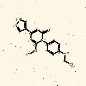 CC(C)Oc1nc(-c2cn[nH]c2)cc(=O)n1-c1ccc(OCC(F)(F)F)cc1